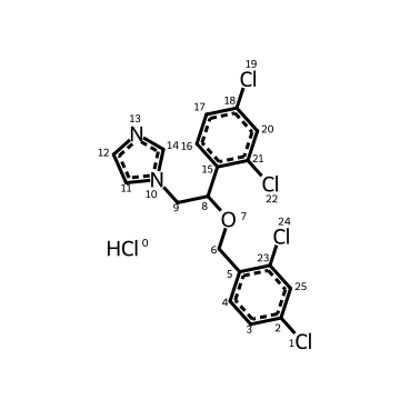 Cl.Clc1ccc(COC(Cn2ccnc2)c2ccc(Cl)cc2Cl)c(Cl)c1